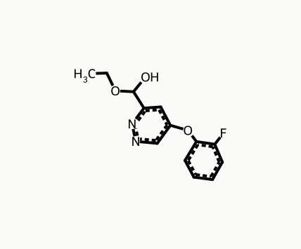 CCOC(O)c1cc(Oc2ccccc2F)cnn1